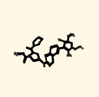 C=CC(=O)N1CC(Nc2ncc3cc(-c4c(C)c(OC)cc(OC)c4Cl)ccc3n2)CC1C(=O)N1CCCC1